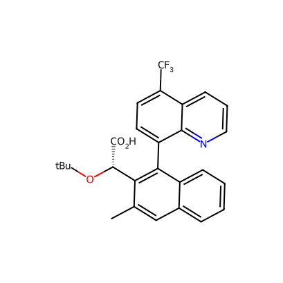 Cc1cc2ccccc2c(-c2ccc(C(F)(F)F)c3cccnc23)c1[C@H](OC(C)(C)C)C(=O)O